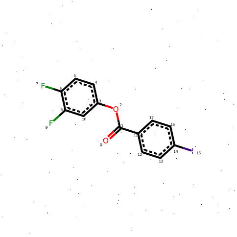 O=C(Oc1ccc(F)c(F)c1)c1ccc(I)cc1